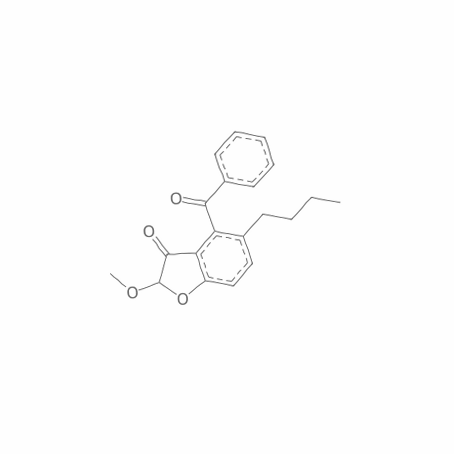 CCCCc1ccc2c(c1C(=O)c1ccccc1)C(=O)C(OC)O2